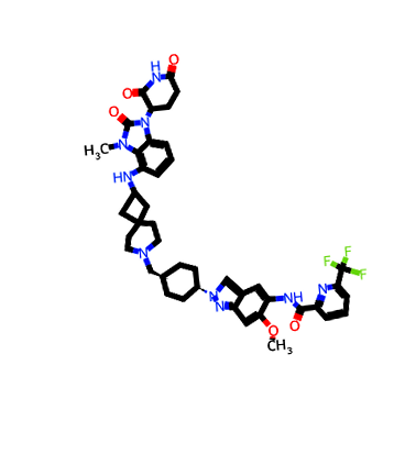 COc1cc2nn([C@H]3CC[C@H](CN4CCC5(CC4)CC(Nc4cccc6c4n(C)c(=O)n6C4CCC(=O)NC4=O)C5)CC3)cc2cc1NC(=O)c1cccc(C(F)(F)F)n1